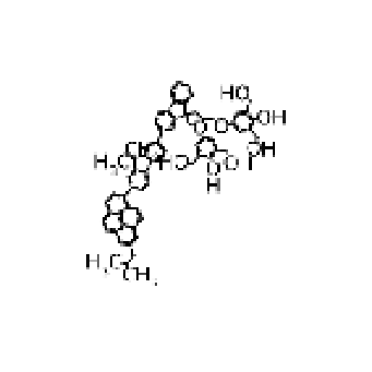 CC(C)Cc1cc2ccc3ccc(-c4ccc5c(c4)C(C)(C)c4cc(-c6ccc7c(c6)C(CCCOc6cc(CO)c(O)c(CO)c6)(COc6cc(CO)c(O)c(CO)c6)c6ccccc6-7)ccc4-5)c4ccc(c1)c2c34